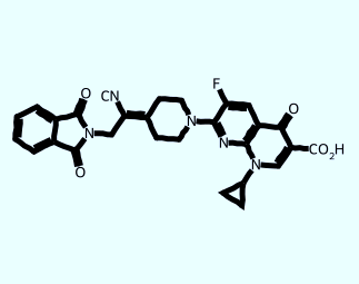 [C-]#[N+]C(CN1C(=O)c2ccccc2C1=O)=C1CCN(c2nc3c(cc2F)c(=O)c(C(=O)O)cn3C2CC2)CC1